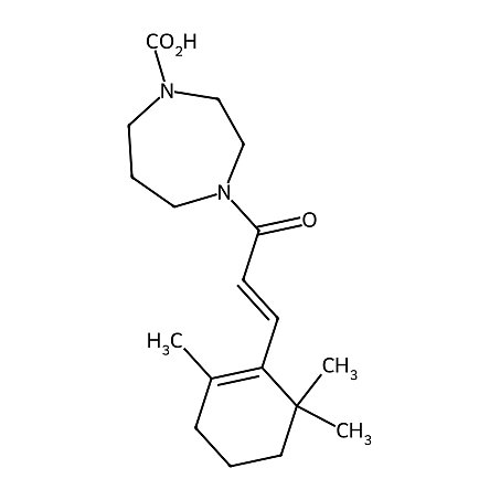 CC1=C(C=CC(=O)N2CCCN(C(=O)O)CC2)C(C)(C)CCC1